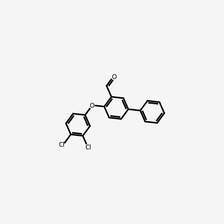 O=Cc1cc(-c2ccccc2)ccc1Oc1ccc(Cl)c(Cl)c1